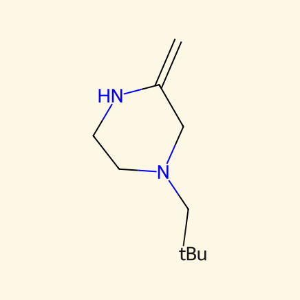 C=C1CN(CC(C)(C)C)CCN1